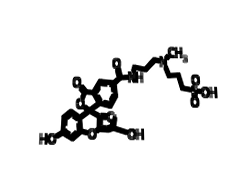 CN(CCCNC(=O)c1ccc2c(c1)C(=O)OC21c2ccc(O)cc2Oc2cc(O)ccc21)CCCS(=O)(=O)O